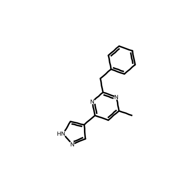 Cc1cc(-c2cn[nH]c2)nc(Cc2ccccc2)n1